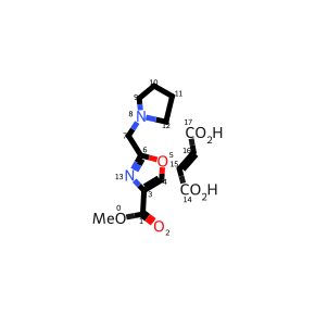 COC(=O)c1coc(CN2CCCC2)n1.O=C(O)C=CC(=O)O